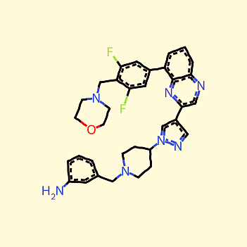 Nc1cccc(CN2CCC(n3cc(-c4cnc5cccc(-c6cc(F)c(CN7CCOCC7)c(F)c6)c5n4)cn3)CC2)c1